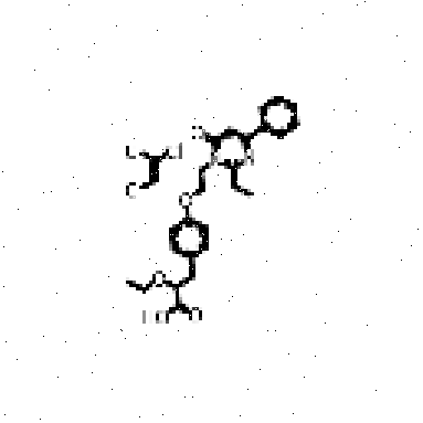 CCOC(Cc1ccc(OCCn2c(CC)nc(-c3ccccc3)cc2=O)cc1)C(=O)O.ClC=C(Cl)Cl